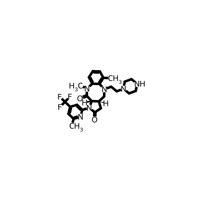 Cc1cc(C(F)(F)F)cc(N2C(=O)C[C@@H]3CN(CCN4CCNCC4)c4c(C)cccc4N(C)C(=O)[C@H]32)n1